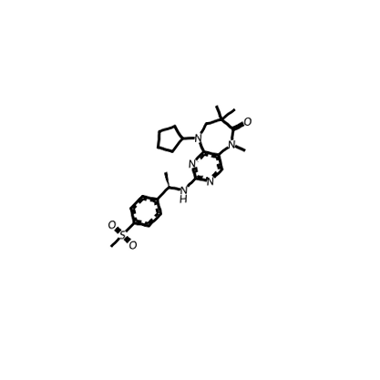 C[C@@H](Nc1ncc2c(n1)N(C1CCCC1)CC(C)(C)C(=O)N2C)c1ccc(S(C)(=O)=O)cc1